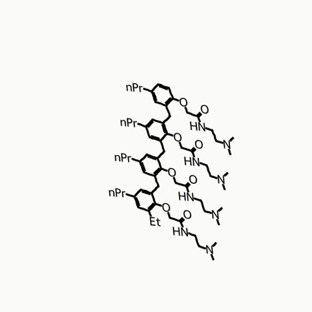 CCCc1ccc(OCC(=O)NCCN(C)C)c(Cc2cc(CCC)cc(Cc3cc(CCC)cc(Cc4cc(CCC)cc(CC)c4OCC(=O)NCCN(C)C)c3OCC(=O)NCCN(C)C)c2OCC(=O)NCCN(C)C)c1